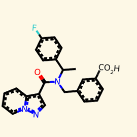 CC(c1ccc(F)cc1)N(Cc1cccc(C(=O)O)c1)C(=O)c1cnn2ccccc12